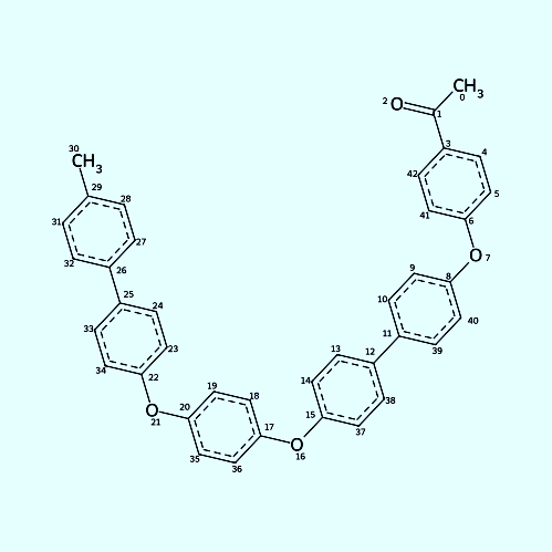 CC(=O)c1ccc(Oc2ccc(-c3ccc(Oc4ccc(Oc5ccc(-c6ccc(C)cc6)cc5)cc4)cc3)cc2)cc1